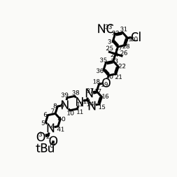 CC(C)(C)OC(=O)N1CCC(CN2CCN(c3nccc(COc4ccc(C(C)(C)c5cc(Cl)cc(C#N)c5)cc4)n3)CC2)CC1